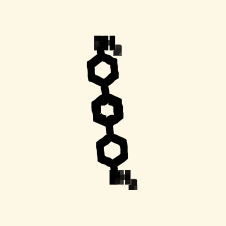 BC1CCC(c2ccc(C3CCC(B)CC3)cc2)CC1